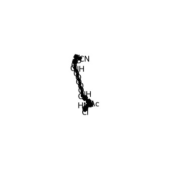 CC(=O)N1c2ccc(-c3ccc(C(=O)NCCOCCOCCOCCOCCOCCNC(=O)COc4ccc(C5CCCN5C(=O)CC#N)cc4)cc3)cc2C(Nc2ccc(Cl)cc2)CC1C